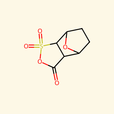 O=C1OS(=O)(=O)C2C3CCC(O3)C12